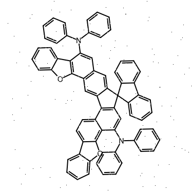 c1ccc(N(c2ccccc2)c2cc3c(c4ccc5c6ccccc6oc5c24)-c2cc4c(cc2C32c3ccccc3-c3ccccc32)cc(N(c2ccccc2)c2ccccc2)c2c3ccccc3oc42)cc1